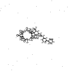 CC[C@H]1OC(=O)[C@@](C)(F)C(=O)[C@H](C)[C@@H](O[C@@H]2OC(CNCc3cccc(-c4cncnc4)c3)CC(N(C)C)C2O)[C@](C)(OC)C[C@@H](C)C(=O)[C@H](C)[C@H]2NC(=O)O[C@@]21C